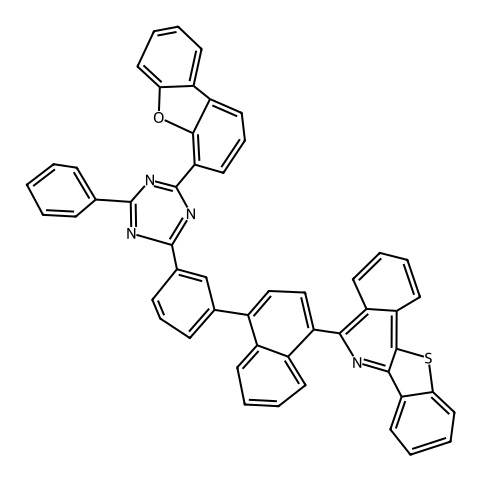 c1ccc(-c2nc(-c3cccc(-c4ccc(-c5nc6c7ccccc7sc6c6ccccc56)c5ccccc45)c3)nc(-c3cccc4c3oc3ccccc34)n2)cc1